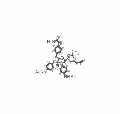 C#CCCCN(OC(=O)C(F)(F)F)C(=O)OC(Cc1ccc(NC(=N)N)cc1)P(=O)(Oc1ccc(NC(C)=O)cc1)Oc1ccc(NC(C)=O)cc1